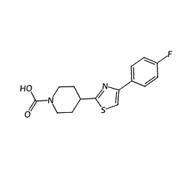 O=C(O)N1CCC(c2nc(-c3ccc(F)cc3)cs2)CC1